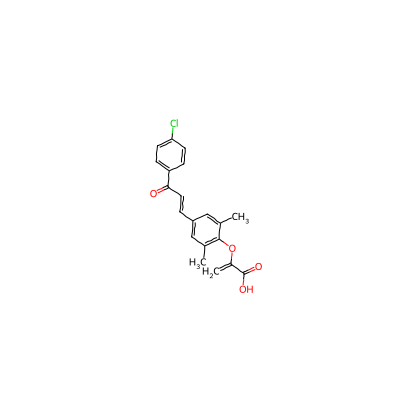 C=C(Oc1c(C)cc(/C=C/C(=O)c2ccc(Cl)cc2)cc1C)C(=O)O